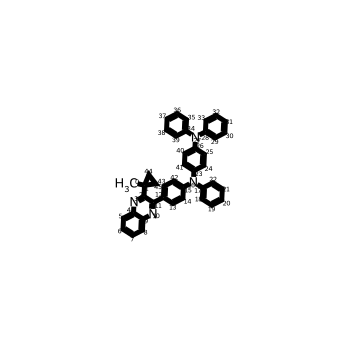 CC1(c2nc3ccccc3nc2-c2ccc(N(c3ccccc3)c3ccc(N(c4ccccc4)c4ccccc4)cc3)cc2)CC1